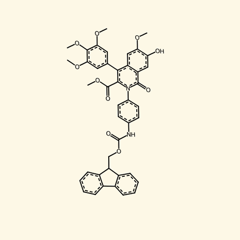 COC(=O)c1c(-c2cc(OC)c(OC)c(OC)c2)c2cc(OC)c(O)cc2c(=O)n1-c1ccc(NC(=O)OCC2c3ccccc3-c3ccccc32)cc1